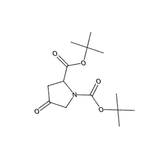 CC(C)(C)OC(=O)C1CC(=O)CN1C(=O)OC(C)(C)C